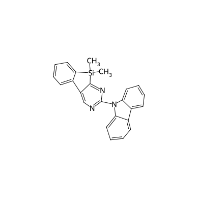 C[Si]1(C)c2ccccc2-c2cnc(-n3c4ccccc4c4ccccc43)nc21